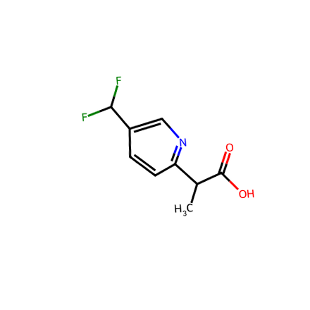 CC(C(=O)O)c1ccc(C(F)F)cn1